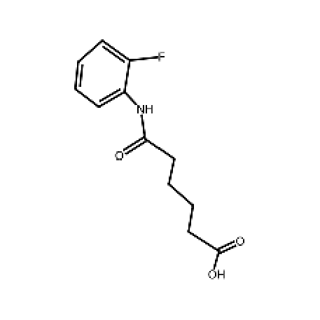 O=C(O)CCCCC(=O)Nc1ccccc1F